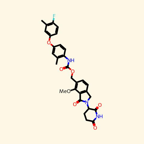 COc1c(COC(=O)Nc2ccc(Oc3ccc(F)c(C)c3)cc2C)ccc2c1C(=O)N(C1CCC(=O)NC1=O)C2